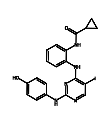 O=C(Nc1ccccc1Nc1nc(Nc2ccc(O)cc2)ncc1I)C1CC1